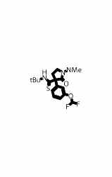 CNN1CCC(C(=S)NC(C)(C)C)(c2cccc(OC(F)F)c2)C1=O